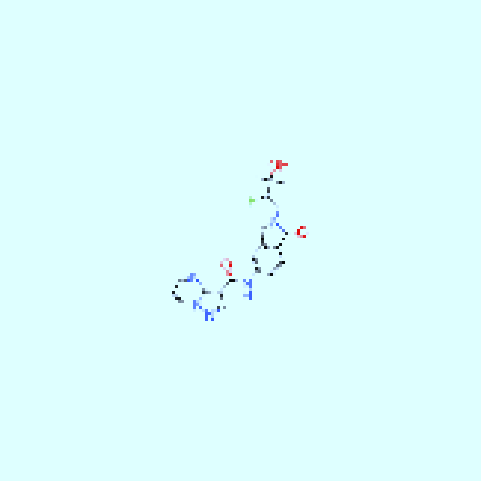 CC(C)(O)C(F)CN1Cc2cc(NC(=O)c3cnn4cccnc34)ccc2C1=O